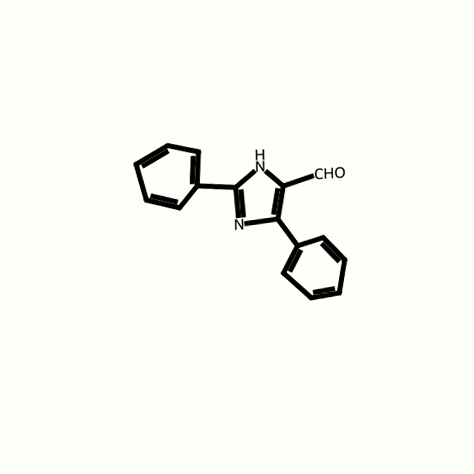 O=Cc1[nH]c(-c2ccccc2)nc1-c1ccccc1